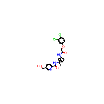 O=C(COc1ccc(Cl)c(Cl)c1)NC12C=C(C1)[C@H](NC(=O)c1ccc(CO)cn1)C2